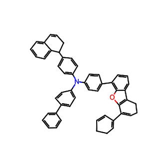 C1=CC(C2=CCCc3c2oc2c(-c4ccc(N(c5ccc(-c6ccccc6)cc5)c5ccc(C6CC=Cc7ccccc76)cc5)cc4)cccc32)=CCC1